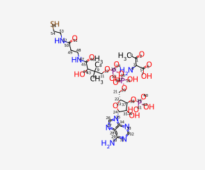 CC(=O)C(N)C(=O)O.CC(C)(COP(=O)(O)OP(=O)(O)OC[C@H]1O[C@@H](n2cnc3c(N)ncnc32)[C@H](O)[C@@H]1OP(=O)(O)O)[C@@H](O)C(=O)NCCC(=O)NCCS